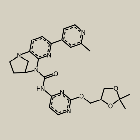 Cc1cc(-c2ccc3c(n2)N(C(=O)Nc2ccnc(OCC4COC(C)(C)O4)n2)C2CCN3C2)ccn1